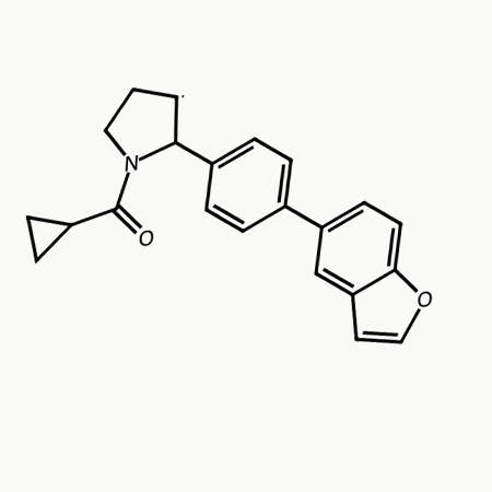 O=C(C1CC1)N1CC[CH]C1c1ccc(-c2ccc3occc3c2)cc1